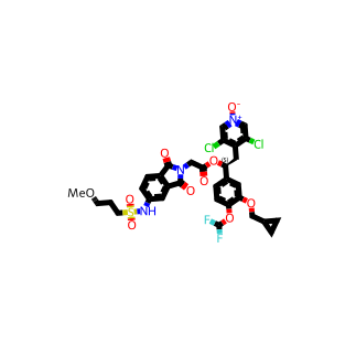 COCCCS(=O)(=O)Nc1ccc2c(c1)C(=O)N(CC(=O)O[C@@H](Cc1c(Cl)c[n+]([O-])cc1Cl)c1ccc(OC(F)F)c(OCC3CC3)c1)C2=O